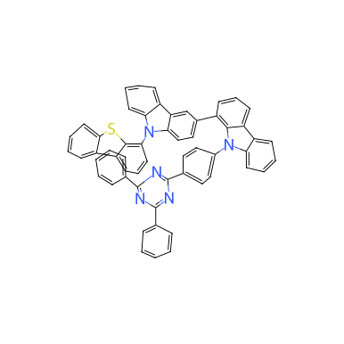 c1ccc(-c2nc(-c3ccccc3)nc(-c3ccc(-n4c5ccccc5c5cccc(-c6ccc7c(c6)c6ccccc6n7-c6cccc7c6sc6ccccc67)c54)cc3)n2)cc1